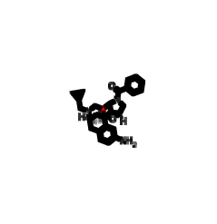 Nc1ccc2c(c1)[C@]13CCN(CC4CC4)[C@H](C2)[C@]12CCC1C3[C@@H](CN1C(=O)c1ccccc1)O2